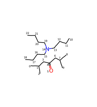 CC(C)CC(=O)CC(C)C.CCCCN(CCCC)CCCC